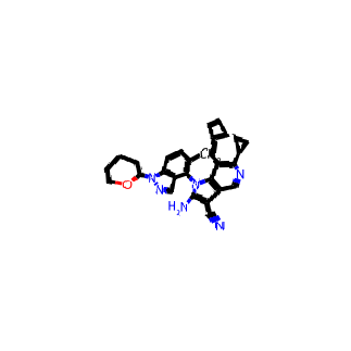 Cc1ccc2c(cnn2C2CCCCO2)c1-n1c(N)c(C#N)c2cnc(C3CC3)c(C=C3CCC3)c21